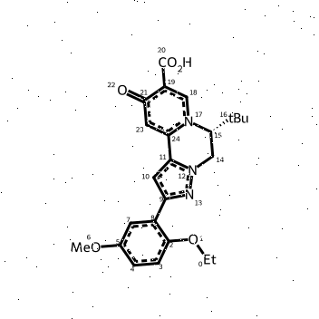 CCOc1ccc(OC)cc1-c1cc2n(n1)C[C@@H](C(C)(C)C)n1cc(C(=O)O)c(=O)cc1-2